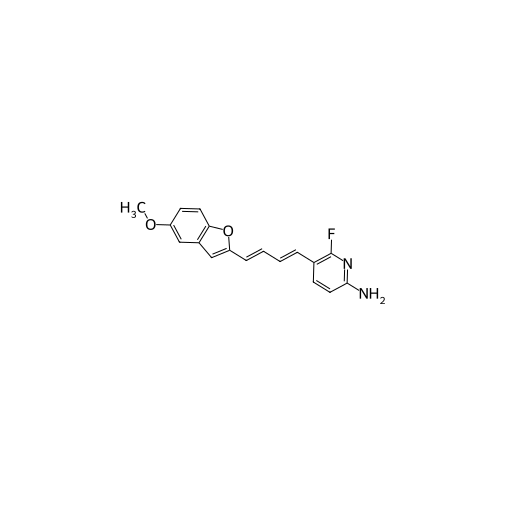 COc1ccc2oc(/C=C/C=C/c3ccc(N)nc3F)cc2c1